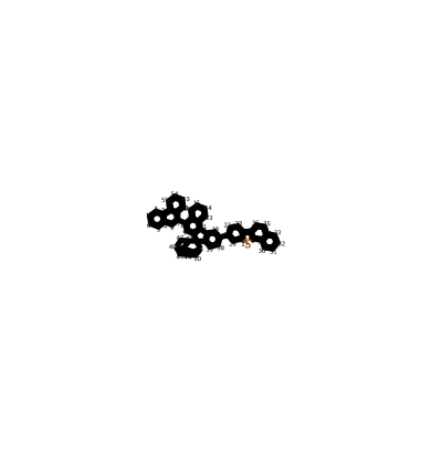 c1ccc2c(c1)cc(-c1cc3c(c4ccccc14)-c1cc(-c4ccc5c(c4)sc4c6ccccc6ccc54)ccc1C31C3CC4CC(C3)CC1C4)c1ccccc12